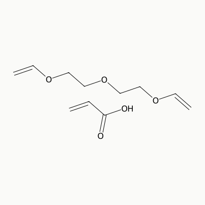 C=CC(=O)O.C=COCCOCCOC=C